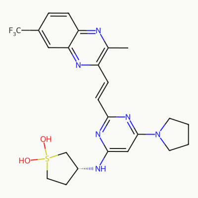 Cc1nc2ccc(C(F)(F)F)cc2nc1/C=C/c1nc(N[C@@H]2CCS(O)(O)C2)cc(N2CCCC2)n1